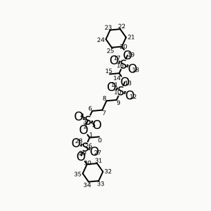 CC(OS(=O)(=O)CCCCS(=O)(=O)OC(C)S(=O)(=O)OC1CCCCC1)S(=O)(=O)OC1CCCCC1